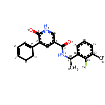 C[C@@H](NC(=O)c1c[nH]c(=O)c(C2=CC=CCC2)c1)c1cccc(C(F)(F)F)c1F